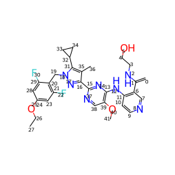 C=C(NCCO)c1cnccc1Nc1nc(-c2nn(Cc3c(F)cc(OCC)cc3F)c(C3CC3)c2C)ncc1OC